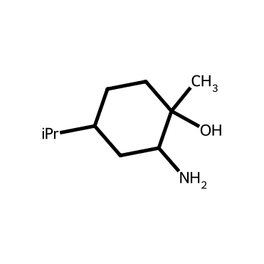 CC(C)C1CCC(C)(O)C(N)C1